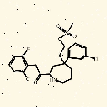 CS(=O)(=O)OCCC1(c2cccc(Cl)c2)CCCNC(C(=O)Cc2c(F)cccc2Cl)C1